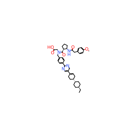 CC[C@H]1CC[C@H](C2CC=C(c3cnc(-c4ccc(CN(CC(=O)O)C(=O)[C@H]5CCC[C@H]5NC(=O)Cc5ccc(OC)cc5)cc4)nc3)CC2)CC1